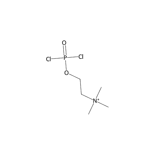 C[N+](C)(C)CCOP(=O)(Cl)Cl